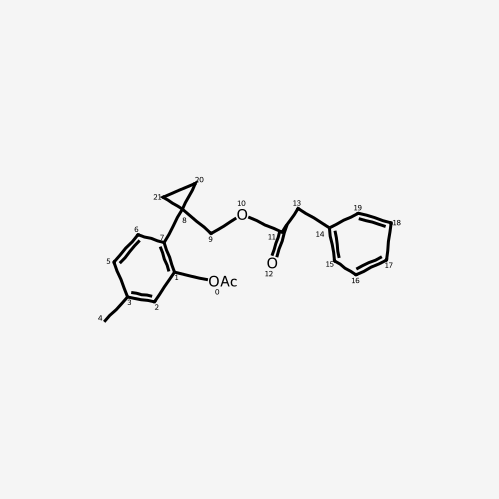 CC(=O)Oc1cc(C)ccc1C1(COC(=O)Cc2ccccc2)CC1